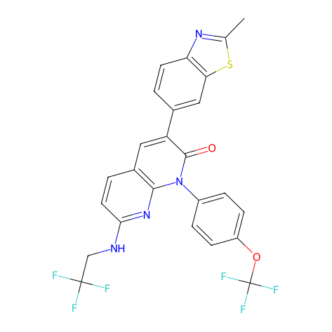 Cc1nc2ccc(-c3cc4ccc(NCC(F)(F)F)nc4n(-c4ccc(OC(F)(F)F)cc4)c3=O)cc2s1